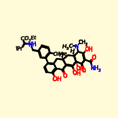 CCOC(=O)C(NCc1ccc(OC)c(-c2ccc(O)c3c2C[C@H]2C[C@H]4C(N(C)C)C(O)=C(C(N)=O)C(=O)[C@@]4(O)C(O)=C2C3=O)c1)C(C)C